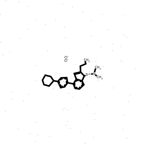 CCCC1=Cc2c(-c3ccc(C4CCCCC4)cc3)cccc2[CH]1[Zr+2][Si](C)C.[Cl-].[Cl-]